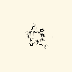 N=C(N)NCCC[C@H](NC(=O)[C@@H]1CCCN1C(=O)CNC(=O)[C@H](CC(=O)O)NC(=O)[C@H](CCCCN)NC(=O)CNC(=O)[C@@H]1CCCN1)C(=O)NCC(=O)N1CCC[C@H]1C(=O)O